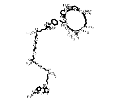 CO[C@H]1C[C@@H]2CC[C@@H](C)[C@@](O)(O2)C(=O)C(=O)N2CCCC[C@H]2C(=O)O[C@H]([C@H](N)C[C@@H]2CC[C@H](n3cc(CCCC(=O)N(C)CCOCCOCCOCCC(=O)N(C)CCOCCOCCC(=O)N(C)CCCCn4nc(-c5ccc6oc(N)nc6c5)c5c(N)ncnc54)nn3)[C@H](OC)C2)CC(=O)[C@H](C)/C=C(\C)[C@@H](O)[C@@H](O)C(=O)[C@H](C)C[C@H](C)/C=C/C=C/C=C/1C